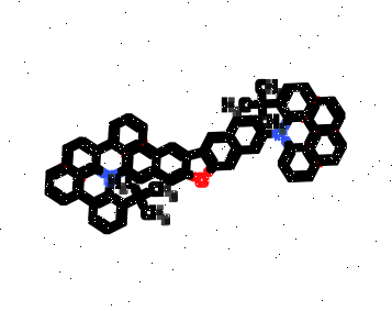 CC(C)(C)c1cccc(-c2ccccc2)c1N(c1ccc2cc3c(cc2c1)oc1cc2cc(N(c4ccccc4-c4ccccc4)c4c(-c5ccccc5)cccc4C(C)(C)C)ccc2cc13)c1ccccc1-c1ccccc1